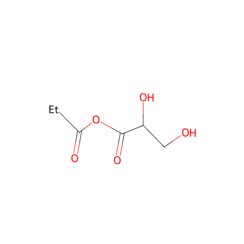 CCC(=O)OC(=O)C(O)CO